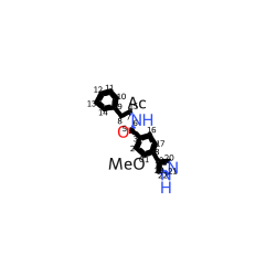 COc1cc(C(=O)NC(Cc2ccccc2)C(C)=O)ccc1-c1cn[nH]c1